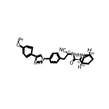 CC(C)Oc1ccc(-c2cn(-c3ccc(C[C@@H](C#N)NC(=O)[C@H]4N[C@@H]5CC[C@H]4C5)cc3)nn2)cc1